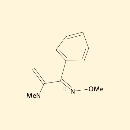 C=C(NC)/C(=N/OC)c1ccccc1